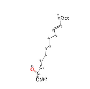 CCCCCC[CH]CC=CCCCCCCCC(=O)OC